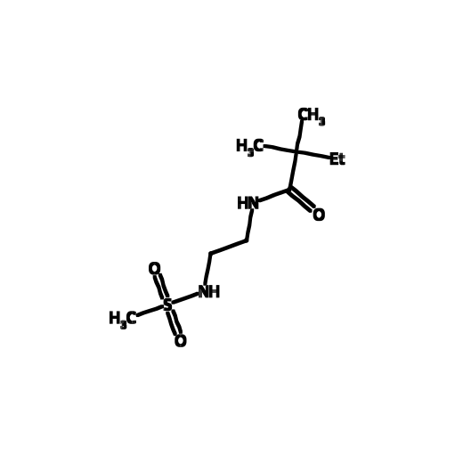 CCC(C)(C)C(=O)NCCNS(C)(=O)=O